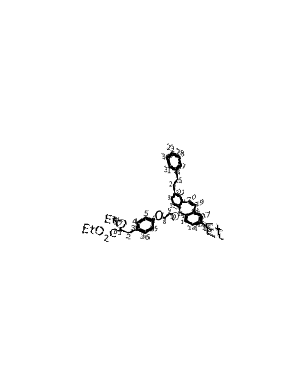 CCOC(=O)C(Cc1ccc(OCCOC2c3ccc(CC)cc3C=Cc3cc(CCc4ccccc4)ccc32)cc1)OCC